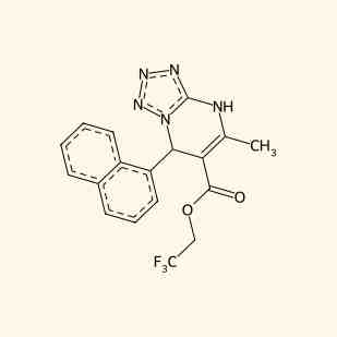 CC1=C(C(=O)OCC(F)(F)F)C(c2cccc3ccccc23)n2nnnc2N1